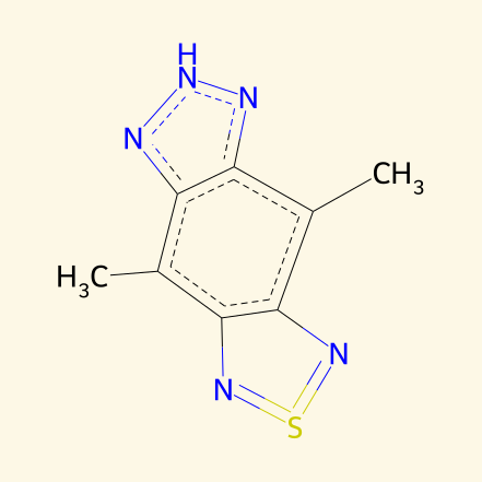 Cc1c2c(c(C)c3n[nH]nc13)N=S=N2